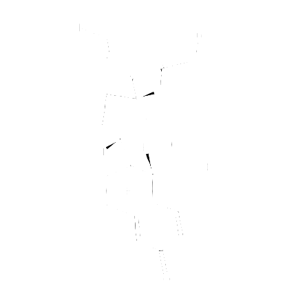 CCCOC(=O)O[C@]1(C(=O)OCCl)[C@@H](C)C[C@H]2[C@@H]3CCC4=CC(=O)C=C[C@]4(C)[C@@]3(F)[C@@H](O)C[C@@]21C